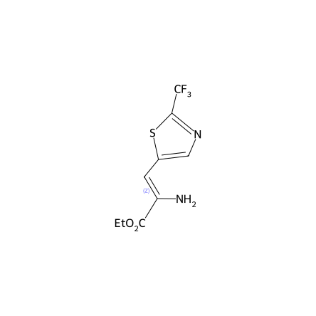 CCOC(=O)/C(N)=C/c1cnc(C(F)(F)F)s1